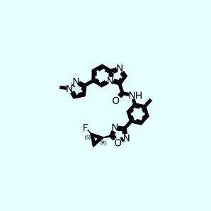 Cc1ccc(-c2noc([C@H]3C[C@@H]3F)n2)cc1NC(=O)c1cnc2ccc(-c3ccn(C)n3)cn12